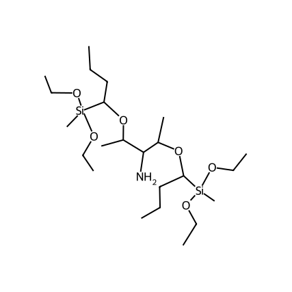 CCCC(OC(C)C(N)C(C)OC(CCC)[Si](C)(OCC)OCC)[Si](C)(OCC)OCC